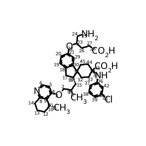 C[C@@H](COc1ccnc2c1[C@H](C)CCC2)C[C@H]1Cc2ccc(OC(CN)CCC(=O)O)cc2C12CCC(Nc1cccc(Cl)c1)(C(=O)O)CC2